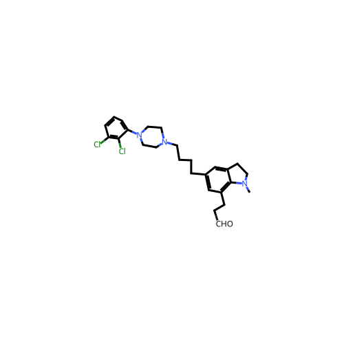 CN1CCc2cc(CCCCN3CCN(c4cccc(Cl)c4Cl)CC3)cc(CCC=O)c21